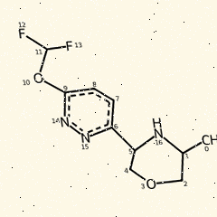 CC1COCC(c2ccc(OC(F)F)nn2)N1